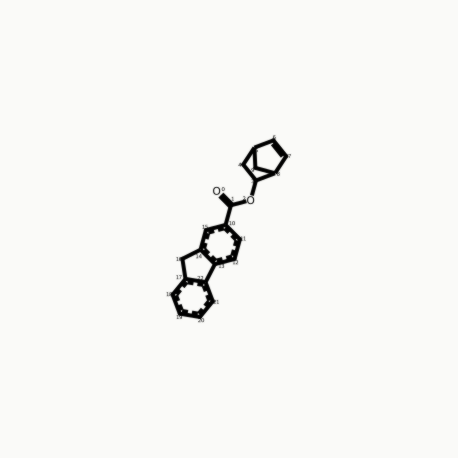 O=C(OC1CC2C=CC1C2)c1ccc2c(c1)Cc1ccccc1-2